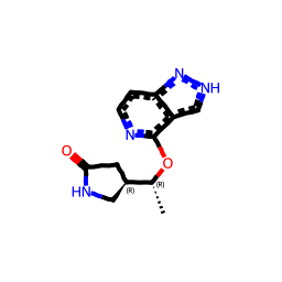 C[C@@H](Oc1nccc2n[nH]cc12)[C@H]1CNC(=O)C1